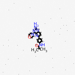 CC(C)C(=O)Nc1ccc(-c2ccc3nc(N)nc(N4CCOCC4)c3n2)cc1